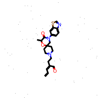 C=C/C=C(\C=O)CCN1CCC2(CC1)CN(c1ccc3ncsc3c1)C(=O)C(C)O2